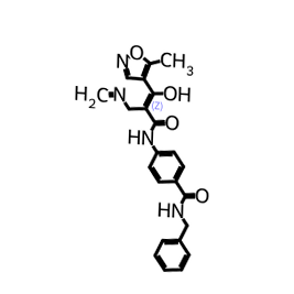 C=NC/C(C(=O)Nc1ccc(C(=O)NCc2ccccc2)cc1)=C(/O)c1cnoc1C